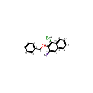 Brc1c(OCc2ccccc2)c(I)cc2ccccc12